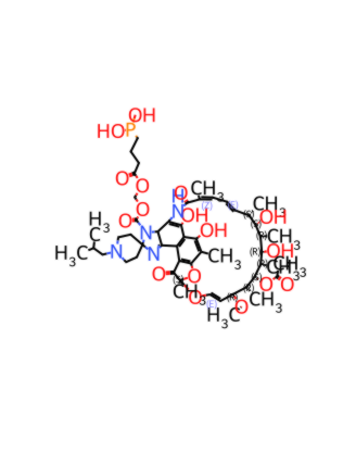 CO[C@H]1/C=C/O[C@@]2(C)Oc3c(C)c(O)c4c(c3C2=O)C2=NC3(CCN(CC(C)C)CC3)N(C(=O)OCOC(=O)CCCP(O)O)C2C(=C4O)NC(=O)/C(C)=C\C=C\[C@H](C)[C@H](O)[C@@H](C)[C@@H](O)[C@@H](C)[C@H](OC(C)=O)[C@@H]1C